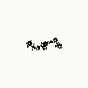 O=C(Cn1cc(Nc2ncnc3cc(OCCCN4CCC[C@H]4COP(=O)(O)O)ccc23)cn1)Nc1cccc(F)c1F